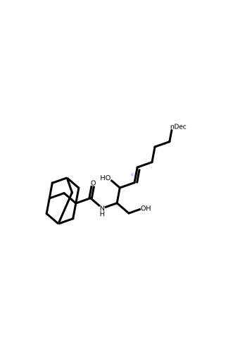 CCCCCCCCCCCCC/C=C/C(O)C(CO)NC(=O)C12CC3CC(CC(C3)C1)C2